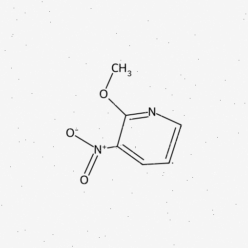 COc1nc[c]cc1[N+](=O)[O-]